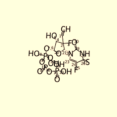 C#CC1(F)[C@@H](O)[C@@H](OP(=O)(O)OP(=O)(O)OP(=O)(O)O)O[C@H]1n1cc(F)c(=S)[nH]c1=O